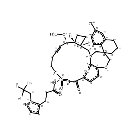 CO[C@H]1/C=C/CCC[S@@](=O)(NC(=O)CCc2ccnn2CC(F)(F)F)=NC(=O)c2ccc3c(c2)N(C[C@@H]2CC[C@H]21)C[C@@]1(CCCc2cc(Cl)ccc21)CO3